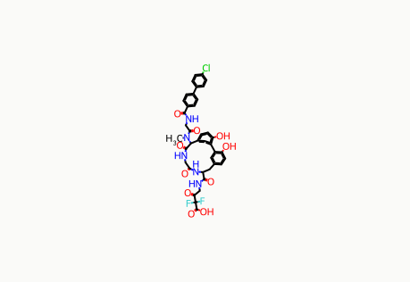 CN(C(=O)CNC(=O)c1ccc(-c2ccc(Cl)cc2)cc1)C1C(=O)NCC(=O)NC(C(=O)NCC(=O)C(F)(F)C(=O)O)Cc2ccc(O)c(c2)-c2cc1ccc2O